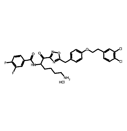 Cl.NCCCCC(NC(=O)c1ccc(F)c(F)c1)C(=O)c1noc(Cc2ccc(OCCc3ccc(Cl)c(Cl)c3)cc2)n1